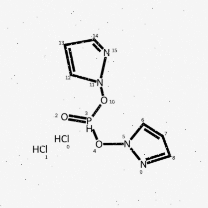 Cl.Cl.O=[PH](On1cccn1)On1cccn1